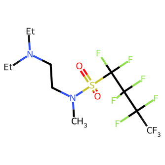 CCN(CC)CCN(C)S(=O)(=O)C(F)(F)C(F)(F)C(F)(F)C(F)(F)F